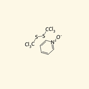 ClC(Cl)(Cl)SSC(Cl)(Cl)Cl.[O-][n+]1ccccc1